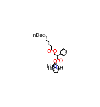 CCCCCCCCCCCCCCCC(=O)OCC(C(=O)O[C@H]1C[C@H]2CC[C@@H](C1)N2C)c1ccccc1